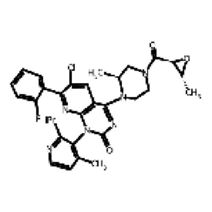 Cc1ccnc(C(C)C)c1-n1c(=O)nc(N2CCN(C(=O)[C@H]3O[C@@H]3C)C[C@@H]2C)c2cc(Cl)c(-c3ccccc3F)nc21